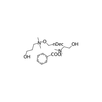 CCCCCCCCCCCO[N+](C)(C)CCCO.CN(C)CCO.O=C([O-])c1ccccc1